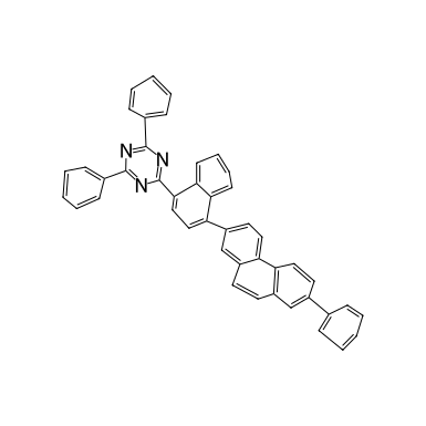 c1ccc(-c2ccc3c(ccc4cc(-c5ccc(-c6nc(-c7ccccc7)nc(-c7ccccc7)n6)c6ccccc56)ccc43)c2)cc1